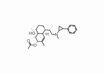 CC(=O)O[C@@H]1[C][C@@]2(O)[C@H](C)CC[C@@H]([C@H](C)CN(C)C3CC3c3ccccc3)[C@H]2C=C1C